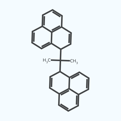 CC(C)(C1C=Cc2cccc3cccc1c23)C1C=Cc2cccc3cccc1c23